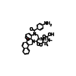 COc1ccc2ccccc2c1CN1C(=O)[C@@H](NC(=O)[C@H](C)N(C)C(=O)O)CN(C(=O)c2ccc(N)cc2)c2ccccc21